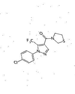 O=C(c1cnn(-c2ccc(Cl)cc2)c1C(F)(F)F)N1CCSC1